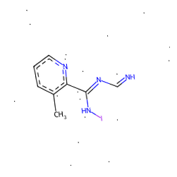 Cc1cccnc1/C(=N/C=N)NI